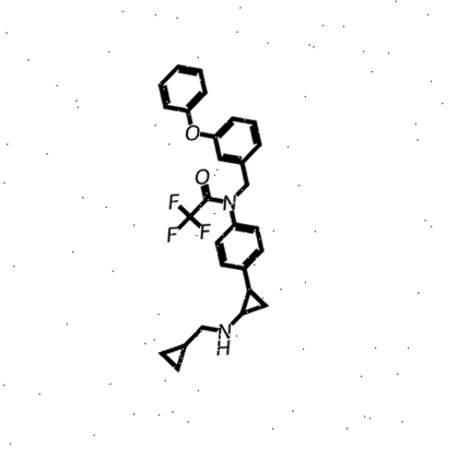 O=C(N(Cc1cccc(Oc2ccccc2)c1)c1ccc(C2CC2NCC2CC2)cc1)C(F)(F)F